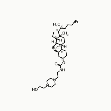 CC(C)CCC[C@@H](C)[C@H]1CC[C@H]2[C@@H]3CC=C4C[C@@H](OC(=O)NCCN5CCN(CCO)CC5)CC[C@]4(C)[C@H]3CC[C@]12C